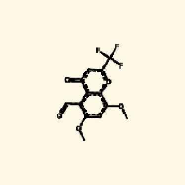 COc1cc(OC)c2oc(C(F)(F)F)cc(=O)c2c1C=O